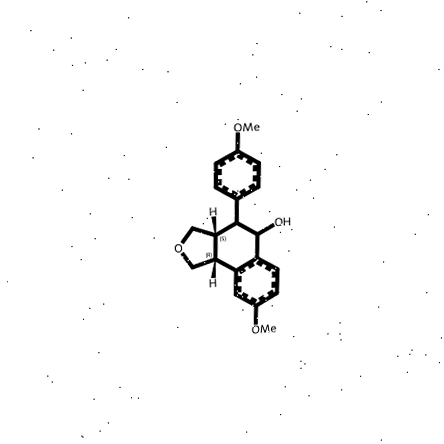 COc1ccc(C2C(O)c3ccc(OC)cc3[C@@H]3COC[C@H]23)cc1